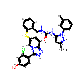 Cc1cccc(-n2nc(C(C)(C)C)cc2NC(=O)NCc2ccccc2Sc2ccc3nnc(-c4ccc(O)cc4Cl)n3c2)c1